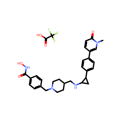 Cn1cc(-c2ccc(C3CC3NCC3CCN(Cc4ccc(C(=O)NO)cc4)CC3)cc2)ccc1=O.O=C(O)C(F)(F)F